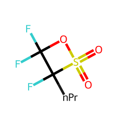 CCCC1(F)C(F)(F)OS1(=O)=O